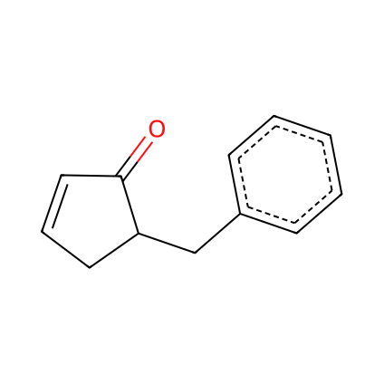 O=C1C=CCC1Cc1ccccc1